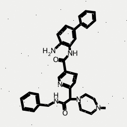 CN1CCN(C(C(=O)NCc2ccccc2)c2ccc(C(=O)Nc3cc(-c4ccccc4)ccc3N)cn2)CC1